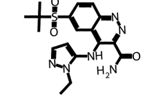 CCn1nccc1Nc1c(C(N)=O)nnc2ccc(S(=O)(=O)C(C)(C)C)cc12